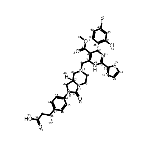 COC(=O)C1=C(CN2CCN3C(=O)N(c4ccc([C@H](C)CC(=O)O)cc4)C[C@@H]3C2)NC(c2nccs2)=N[C@H]1c1ccc(F)cc1Cl